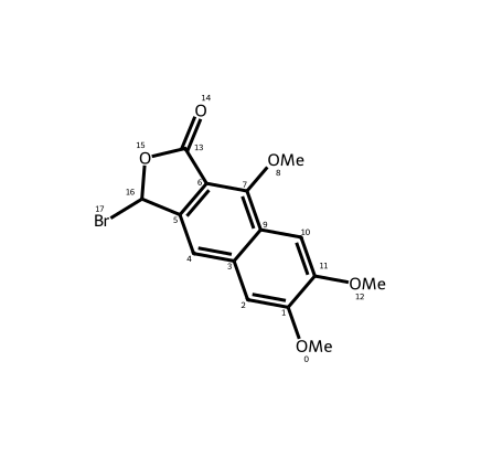 COc1cc2cc3c(c(OC)c2cc1OC)C(=O)OC3Br